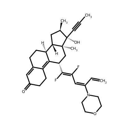 C=C/C(=C\C(F)=C(/F)[C@H]1C[C@@]2(C)[C@@H](C[C@@H](C)[C@@]2(O)C#CC)[C@@H]2CCC3=CC(=O)CCC3=C21)N1CCOCC1